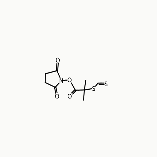 CC(C)(SC=S)C(=O)ON1C(=O)CCC1=O